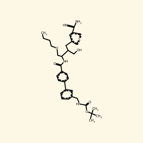 CCCCOCC(NC(=O)c1ccc(-c2cccc(CNC(=O)OC(C)(C)C)c2)cc1)C(CO)Cc1cccc(C(=N)N)c1